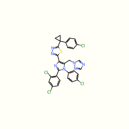 Clc1ccc(-n2c(-c3ccc(Cl)cc3Cl)nc(-c3nnc(C4(c5ccc(Cl)cc5)CC4)s3)c2Cn2cncn2)cc1